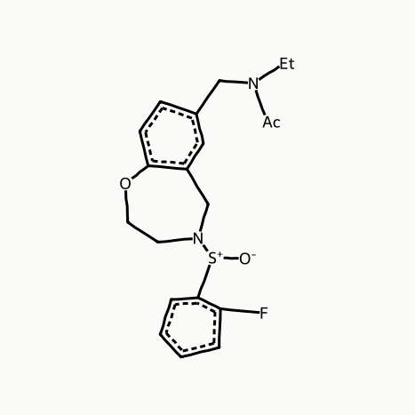 CCN(Cc1ccc2c(c1)CN([S+]([O-])c1ccccc1F)CCO2)C(C)=O